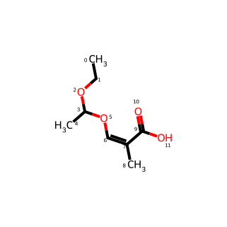 CCOC(C)OC=C(C)C(=O)O